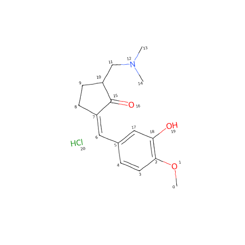 COc1ccc(C=C2CCC(CN(C)C)C2=O)cc1O.Cl